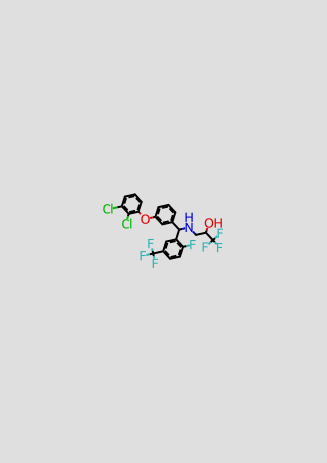 OC(CNC(c1cccc(Oc2cccc(Cl)c2Cl)c1)c1cc(C(F)(F)F)ccc1F)C(F)(F)F